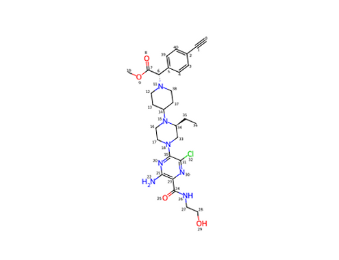 C#Cc1ccc([C@@H](C(=O)OC)N2CCC(N3CCN(c4nc(N)c(C(=O)NCCO)nc4Cl)C[C@@H]3CC)CC2)cc1